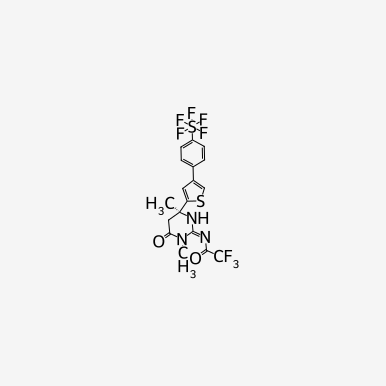 CN1C(=O)C[C@@](C)(c2cc(-c3ccc(S(F)(F)(F)(F)F)cc3)cs2)N/C1=N/C(=O)C(F)(F)F